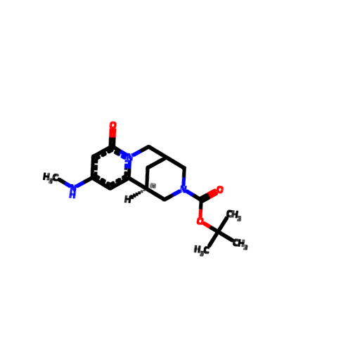 CNc1cc2n(c(=O)c1)CC1C[C@H]2CN(C(=O)OC(C)(C)C)C1